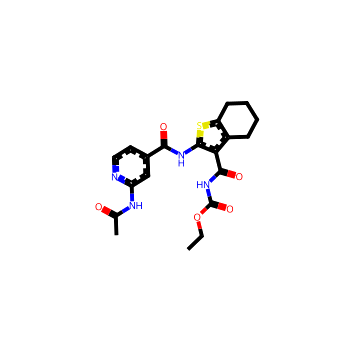 CCOC(=O)NC(=O)c1c(NC(=O)c2ccnc(NC(C)=O)c2)sc2c1CCCC2